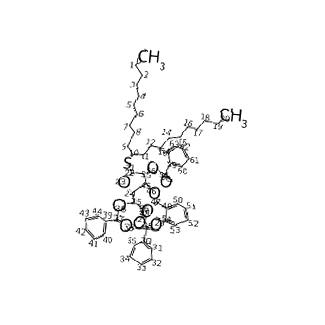 CCCCCCCCCCC(CCCCCCCCCC)S[C@@H]1O[C@@H]([C@@H](COC(=O)c2ccccc2)OC(=O)c2ccccc2)[C@H](OC(=O)c2ccccc2)[C@H]1OC(=O)c1ccccc1